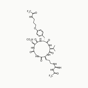 CC(C)=C1NC(=O)[C@@H](Cc2ccc(OCCCNC(=O)C(F)(F)F)cc2)NC(=O)/C(=C\C(=O)O)NC(=O)CNC(=O)/C(=C/CCNC(=N)NC(=O)C(F)(F)F)NC1=O